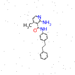 Cc1ccnc(N)c1C(=O)Nc1ccc(CCc2ccccc2)cc1